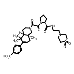 CC1(C)C(c2ccc(C(=O)O)cc2)=CC[C@]2(C)CN(C(=O)C(=O)N3CCC[C@H]3C(=O)NCCN3CCS(=O)(=O)CC3)CC[C@@H]12